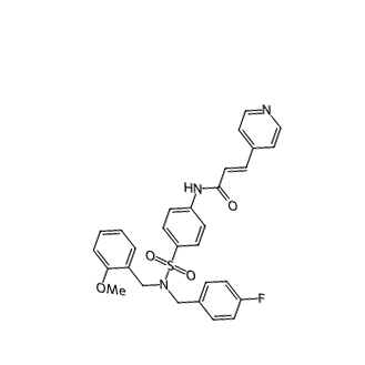 COc1ccccc1CN(Cc1ccc(F)cc1)S(=O)(=O)c1ccc(NC(=O)/C=C/c2ccncc2)cc1